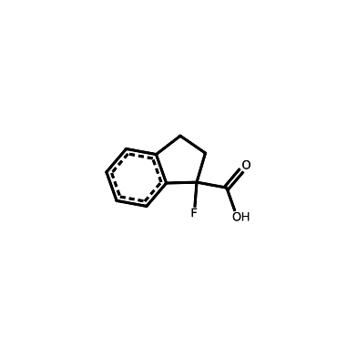 O=C(O)C1(F)CCc2ccccc21